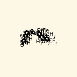 COc1cc2c(N[C@H](C)c3cc(N)cc(C(F)(F)F)c3)nc(C)nc2cc1OCC(=O)Nc1cccc2c1CN(C1CCC(=O)NC1=O)C2=O